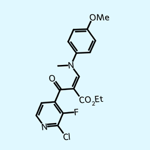 CCOC(=O)C(=CN(C)c1ccc(OC)cc1)C(=O)c1ccnc(Cl)c1F